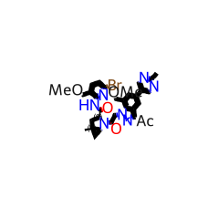 COCc1ccc(Br)nc1NC(=O)[C@@H]1C[C@@]2(C)CC2N1C(=O)Cn1nc(C(C)=O)c2cc(-c3cnc(C)nc3)cc(COC)c21